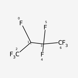 F[C](C(F)(F)F)C(F)(F)C(F)(F)F